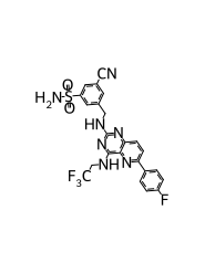 N#Cc1cc(CNc2nc(NCC(F)(F)F)c3nc(-c4ccc(F)cc4)ccc3n2)cc(S(N)(=O)=O)c1